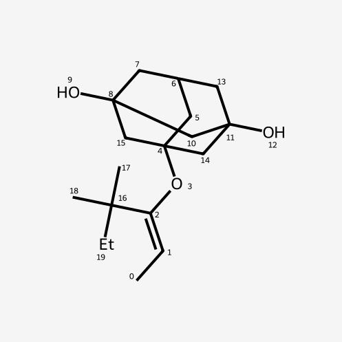 CC=C(OC12CC3CC(O)(CC(O)(C3)C1)C2)C(C)(C)CC